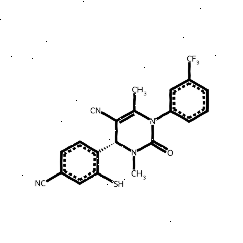 [C-]#[N+]C1=C(C)N(c2cccc(C(F)(F)F)c2)C(=O)N(C)[C@@H]1c1ccc(C#N)cc1S